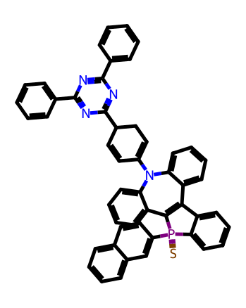 S=P1(c2ccc3ccccc3c2)C2=C(c3ccccc3N(C3=CCC(c4nc(-c5ccccc5)nc(-c5ccccc5)n4)C=C3)c3ccccc32)c2ccccc21